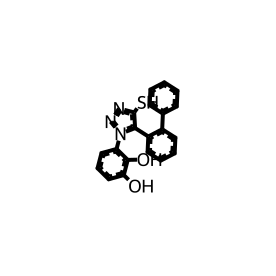 Oc1cccc(-n2nnc(S)c2-c2ccccc2-c2ccccc2)c1O